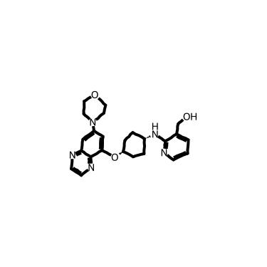 OCc1cccnc1N[C@H]1CC[C@@H](Oc2cc(N3CCOCC3)cc3nccnc23)CC1